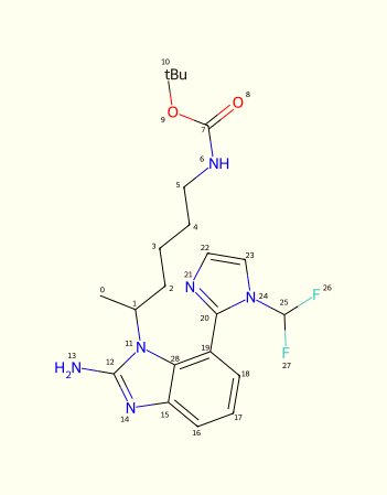 CC(CCCCNC(=O)OC(C)(C)C)n1c(N)nc2cccc(-c3nccn3C(F)F)c21